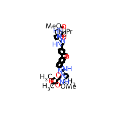 COC(=O)N[C@H](C(=O)N1[C@@H](C)CC[C@H]1c1ncc(-c2ccc3c(c2)COc2cc4c(ccc5nc([C@@H]6CC[C@H](C)N6C(=O)[C@H](NC(=O)OC)[C@H]6C[C@@H](C)O[C@@H](C)C6)[nH]c54)cc2-3)[nH]1)C(C)C